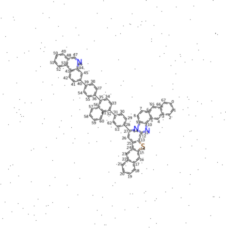 c1ccc2cc3c(ccc4c3nc3c5sc6cc7ccccc7cc6c5cc(-c5ccc(-c6ccc(-c7ccc(-c8ccc9c(c8)ncc8ccccc89)cc7)c7ccccc67)cc5)n43)cc2c1